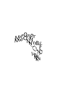 CCCCc1nc(C(CCC)(OC)OC)nn1Cc1ccc(-n2c(F)ccc2-c2nnn[nH]2)cc1